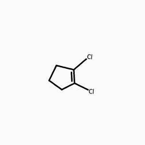 ClC1=C(Cl)CCC1